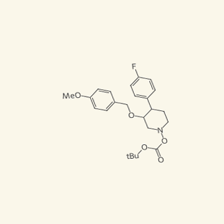 COc1ccc(COC2CN(OC(=O)OC(C)(C)C)CCC2c2ccc(F)cc2)cc1